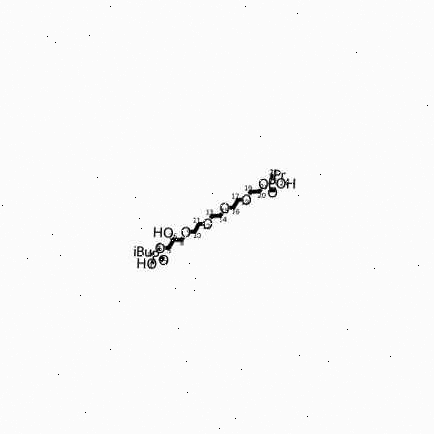 CCC(C)P(=O)(O)OCC(O)COCCOCCOCCOCCOP(=O)(O)C(C)C